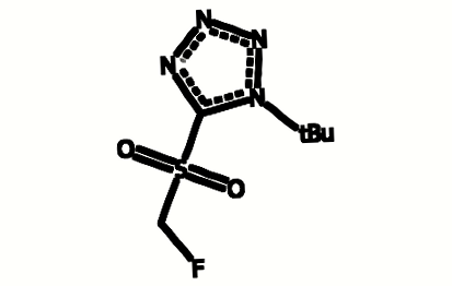 CC(C)(C)n1nnnc1S(=O)(=O)CF